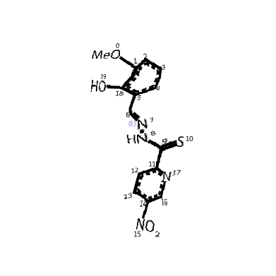 COc1cccc(/C=N/NC(=S)c2ccc([N+](=O)[O-])cn2)c1O